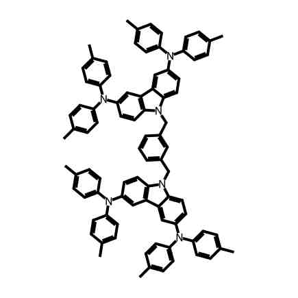 Cc1ccc(N(c2ccc(C)cc2)c2ccc3c(c2)c2cc(N(c4ccc(C)cc4)c4ccc(C)cc4)ccc2n3Cc2cccc(Cn3c4ccc(N(c5ccc(C)cc5)c5ccc(C)cc5)cc4c4cc(N(c5ccc(C)cc5)c5ccc(C)cc5)ccc43)c2)cc1